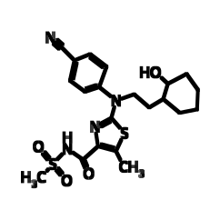 Cc1sc(N(CCC2CCCCC2O)c2ccc(C#N)cc2)nc1C(=O)NS(C)(=O)=O